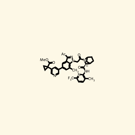 COC(=O)C1(c2cncc(-c3cc(C)c4c(c3)c(C(C)=O)nn4CC(=O)N3C4CCC(C4)[C@H]3C(=O)Nc3nc(C(F)(F)F)ccc3C)c2)CC1